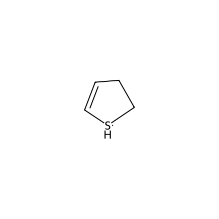 C1=C[SH]CC1